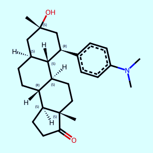 CN(C)c1ccc([C@@H]2C[C@@](C)(O)C[C@@H]3CC[C@@H]4[C@H](CC[C@]5(C)C(=O)CC[C@@H]45)[C@H]32)cc1